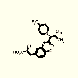 C[C@H]([C@H](C(=O)Nc1cc(C[C@H](C)C(=O)O)ccc1Cl)N1CCC(C(F)(F)F)CC1)C(F)(F)F